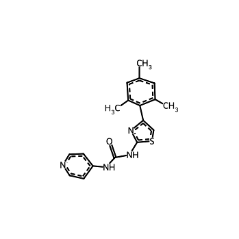 Cc1cc(C)c(-c2csc(NC(=O)Nc3ccncc3)n2)c(C)c1